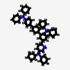 c1ccc(N(c2ccccc2)c2ccc(-c3ccc(-c4cc(-c5ccc(N(c6ccccc6)c6ccccc6)cn5)cc5c6ccccc6n(-c6ccccc6)c45)cc3)cc2)cc1